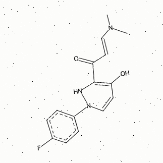 CN(C)C=CC(=O)C1=C(O)C=CN(c2ccc(F)cc2)N1